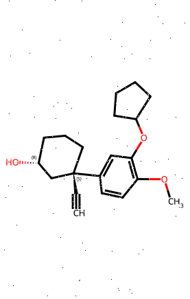 C#C[C@]1(c2ccc(OC)c(OC3CCCC3)c2)CCC[C@@H](O)C1